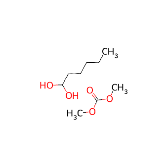 CCCCCC(O)O.COC(=O)OC